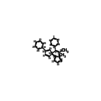 CC(C)=C(c1ccccc1)S1(n2ccnc2)C=CC(c2ccccc2)=C1